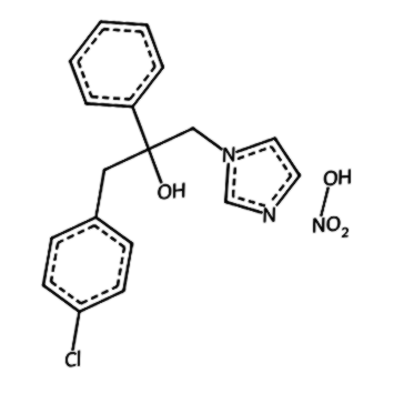 O=[N+]([O-])O.OC(Cc1ccc(Cl)cc1)(Cn1ccnc1)c1ccccc1